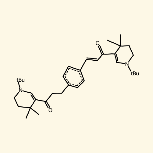 CC1(C)CCN(C(C)(C)C)C=C1C(=O)/C=C/c1ccc(CCC(=O)C2=CN(C(C)(C)C)CCC2(C)C)cc1